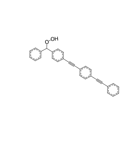 OOC(c1ccccc1)c1ccc(C#Cc2ccc(C#Cc3ccccc3)cc2)cc1